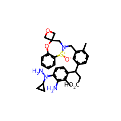 Cc1ccc(C(CC(=O)O)c2ccc(N(N)C3CC3)c(N)c2C)cc1CN1CC2(COC2)Oc2ccccc2[S+]1[O-]